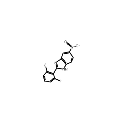 O=[N+]([O-])c1ccc2[nH]c(-c3c(F)cccc3F)nc2c1